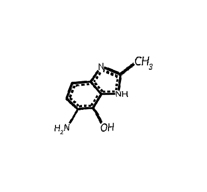 Cc1nc2ccc(N)c(O)c2[nH]1